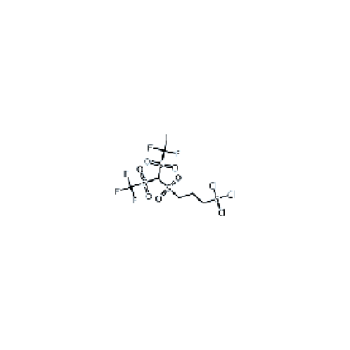 O=S(=O)(CCCS(Cl)(Cl)Cl)C(S(=O)(=O)C(F)(F)F)S(=O)(=O)C(F)(F)F